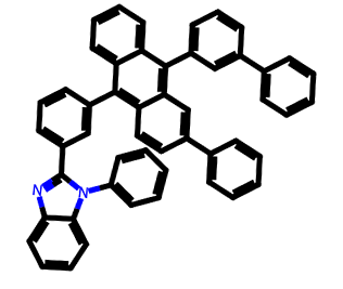 c1ccc(-c2cccc(-c3c4ccccc4c(-c4cccc(-c5nc6ccccc6n5-c5ccccc5)c4)c4ccc(-c5ccccc5)cc34)c2)cc1